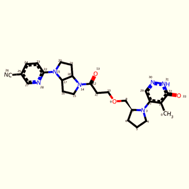 Cc1c(N2CCC[C@H]2COCCC(=O)N2CCC3C2CCN3c2ccc(C#N)cn2)cn[nH]c1=O